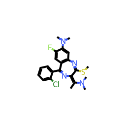 CSC1=Nc2cc(N(C)C)c(F)cc2C(c2ccccc2Cl)=NC1=C(C)N(C)C